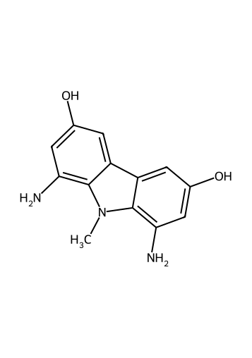 Cn1c2c(N)cc(O)cc2c2cc(O)cc(N)c21